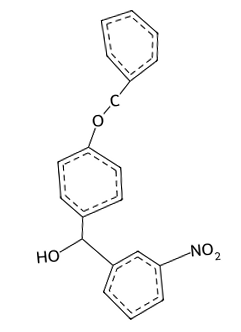 O=[N+]([O-])c1cccc(C(O)c2ccc(OCc3ccccc3)cc2)c1